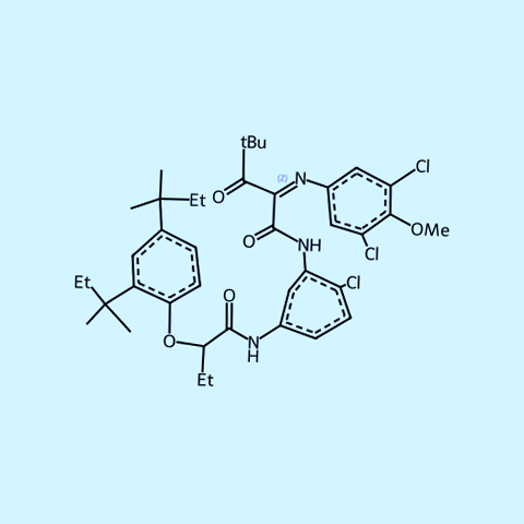 CCC(Oc1ccc(C(C)(C)CC)cc1C(C)(C)CC)C(=O)Nc1ccc(Cl)c(NC(=O)/C(=N\c2cc(Cl)c(OC)c(Cl)c2)C(=O)C(C)(C)C)c1